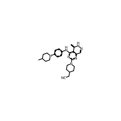 C=C1NN=Cc2nc(N3CCC(CC#N)CC3)nc(Nc3ccc(N4CCC(C)CC4)cc3)c21